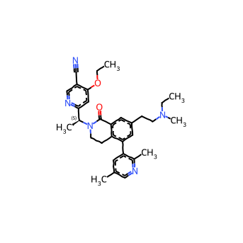 CCOc1cc([C@H](C)N2CCc3c(cc(CCN(C)CC)cc3-c3cc(C)cnc3C)C2=O)ncc1C#N